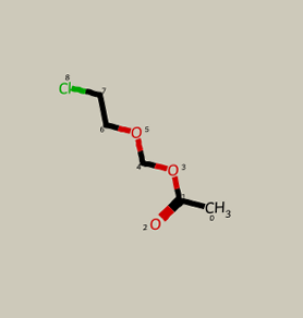 CC(=O)OCOCCCl